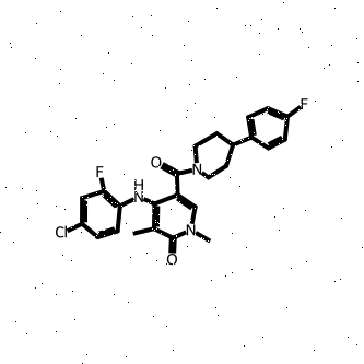 Cc1c(Nc2ccc(Cl)cc2F)c(C(=O)N2CCC(c3ccc(F)cc3)CC2)cn(C)c1=O